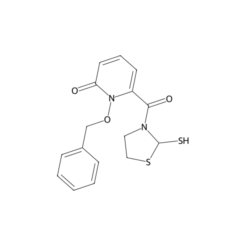 O=C(c1cccc(=O)n1OCc1ccccc1)N1CCSC1S